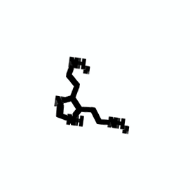 NCCC1N=CNC1CCN